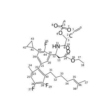 C=CC[C@@H](OS(C)(=O)=O)C(=O)N[C@@H](CC(=O)OCC)c1cc(-c2c(C)cc(F)c(F)c2CCCCC=C(C)C)cc(C2CC2)c1F